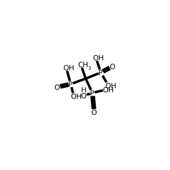 CC(P(=O)(O)O)(P(=O)(O)O)P(=O)(O)O